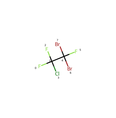 FC(F)(Cl)C(F)(Br)Br